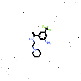 C=C(NCCN1CCCCC1)c1cc(N)cc(C(F)(F)F)c1